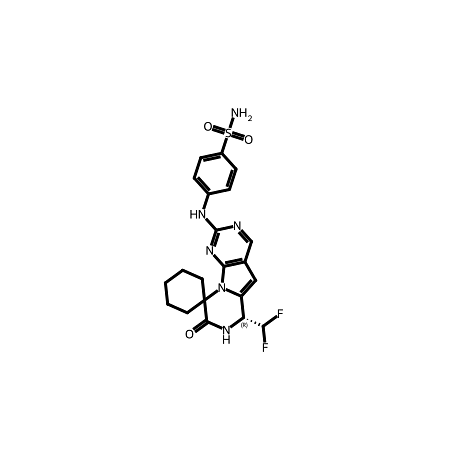 NS(=O)(=O)c1ccc(Nc2ncc3cc4n(c3n2)C2(CCCCC2)C(=O)N[C@H]4C(F)F)cc1